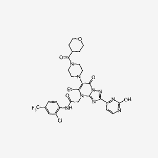 CCc1c(N2CCN(C(=O)C3CCOCC3)CC2)c(=O)n2nc(-c3ccnc(O)n3)nc2n1CC(=O)Nc1ccc(C(F)(F)F)cc1Cl